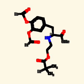 CCC(=O)Oc1ccc(C[C@H](NCCOC(=O)C(C)(C)CC)C(=O)OC)cc1OC(=O)CC